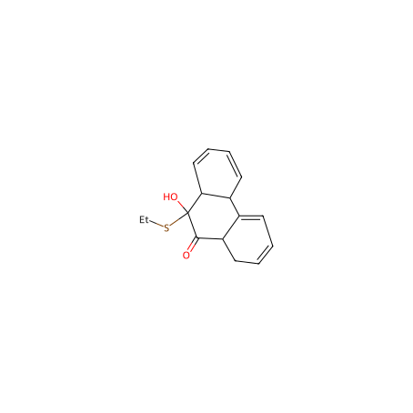 CCSC1(O)C(=O)C2CC=CC=C2C2C=CC=CC21